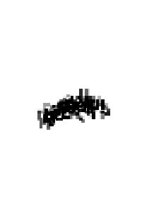 Cc1c(C(=O)Oc2c(F)c(F)c(F)c(F)c2F)ccc2c1O[C@H](C(C)(C)O[SiH2]C(C)(C)C)CO2